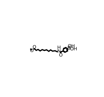 COC(=O)CCCCCCCCCCCNC(=O)c1ccc(B(O)O)cc1